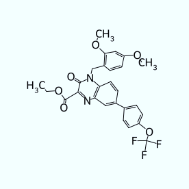 CCOC(=O)c1nc2cc(-c3ccc(OC(F)(F)F)cc3)ccc2n(Cc2ccc(OC)cc2OC)c1=O